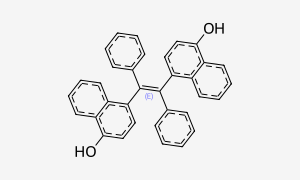 Oc1ccc(/C(=C(\c2ccccc2)c2ccc(O)c3ccccc23)c2ccccc2)c2ccccc12